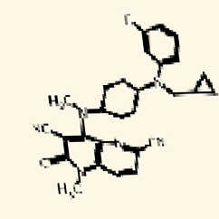 CN(c1c(C#N)c(=O)n(C)c2ccc(C#N)nc12)C1CCC(N(CC2CC2)c2cccc(F)c2)CC1